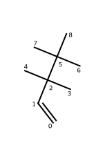 C=CC(C)(C)C(C)(C)C